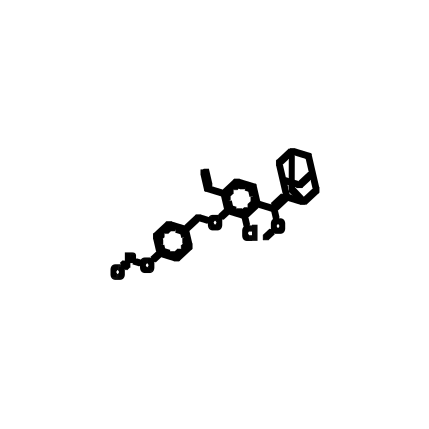 C=Cc1ccc(C(OC)=C2C3CC4CC(C3)CC2C4)c(Cl)c1OCc1ccc(OP=O)cc1